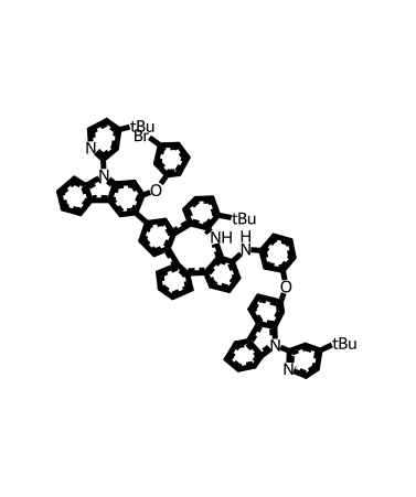 CC(C)(C)c1ccnc(-n2c3ccccc3c3ccc(Oc4cccc(Nc5cccc6c5[nH]c5c(C(C)(C)C)cccc5c5cc(-c7cc8c9ccccc9n(-c9cc(C(C)(C)C)ccn9)c8cc7Oc7cccc(Br)c7)ccc5c5ccccc65)c4)cc32)c1